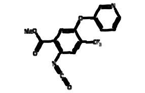 COC(=O)c1cc(Oc2cccnc2)c(C(F)(F)F)cc1N=C=O